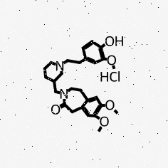 COc1cc(CCN2CCCC(CN3CCc4cc(OC)c(OC)cc4CC3=O)C2)ccc1O.Cl